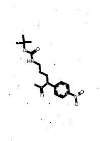 CC(=O)C(CCCNC(=O)OC(C)(C)C)c1ccc([N+](=O)[O-])cc1